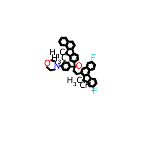 CC1(C)c2cc(F)ccc2-c2c1c1c(c3cc(F)ccc23)OC(c2ccc(N3CCCOCC3)cc2)(c2ccc3c(c2)C(C)(C)c2c-3ccc3ccccc23)C=C1